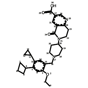 CCOc1cc(C2CCC2)c(C2CC2)cc1CN1CCC(N2CCc3ncc(C(=O)O)cc3C2=O)CC1